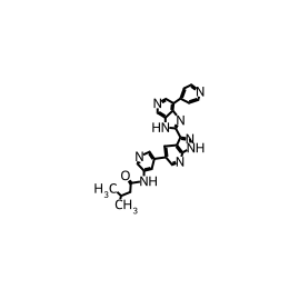 CC(C)CC(=O)Nc1cncc(-c2cnc3[nH]nc(-c4nc5c(-c6ccncc6)cncc5[nH]4)c3c2)c1